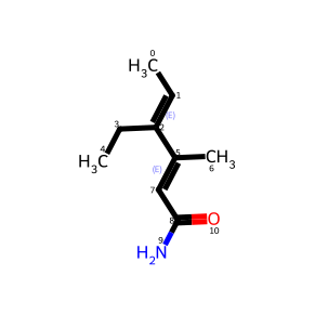 C/C=C(CC)/C(C)=C/C(N)=O